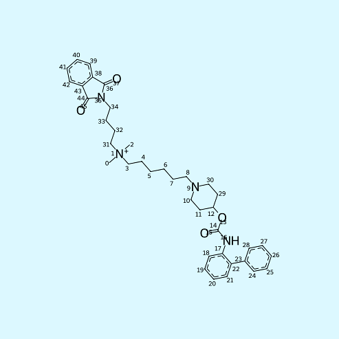 C[N+](C)(CCCCCCN1CCC(OC(=O)Nc2ccccc2-c2ccccc2)CC1)CCCCN1C(=O)c2ccccc2C1=O